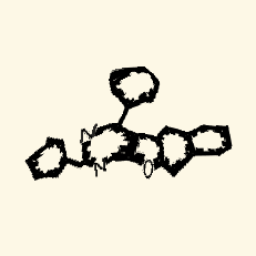 c1ccc(-c2nc(-c3ccccc3)c3c(n2)oc2cc4ccccc4cc23)cc1